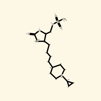 CS(=O)(=O)OCC1OC(=O)NC1CCCCC1CCN(C2CC2)CC1